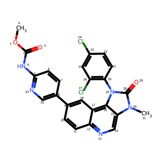 COC(=O)Nc1ccc(-c2ccc3ncc4c(c3c2)n(-c2ccc(Cl)cc2Cl)c(=O)n4C)cn1